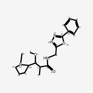 COC(C(C)C(=O)NCc1nnc(-c2ccccc2)o1)C1CCCN1C